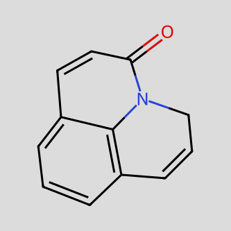 O=c1ccc2cccc3c2n1CC=C3